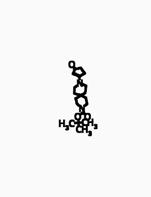 CC(C)(C)OC(=O)N1CCC2(CC1)CCN(C1=CC(=O)CC1)CC2